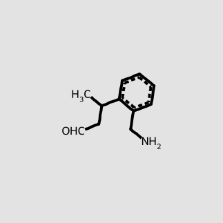 CC(CC=O)c1ccccc1CN